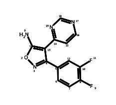 Nc1onc(-c2ccc(F)c(F)c2)c1-c1ccncn1